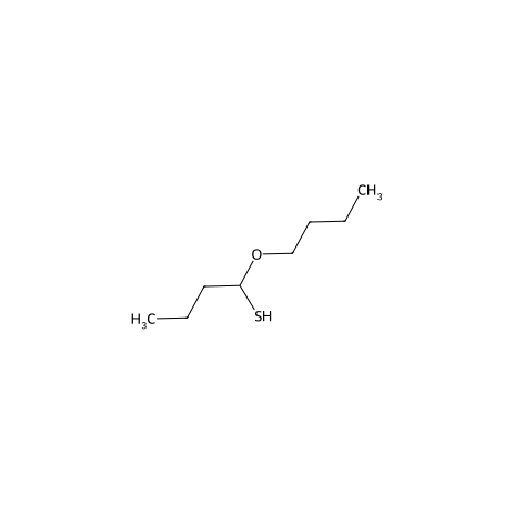 CCCCOC(S)CCC